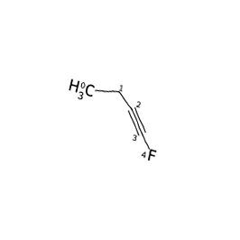 CCC#CF